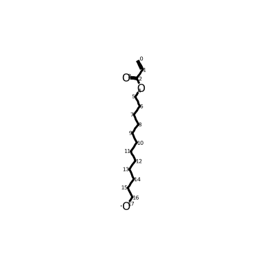 C=CC(=O)OCCCCCCCCCCCC[O]